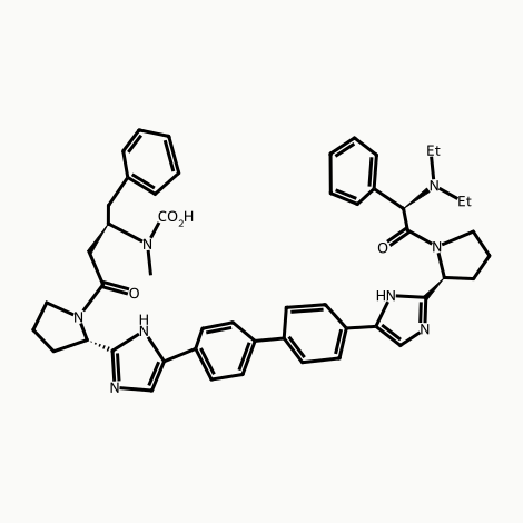 CCN(CC)[C@@H](C(=O)N1CCC[C@H]1c1ncc(-c2ccc(-c3ccc(-c4cnc([C@@H]5CCCN5C(=O)C[C@@H](Cc5ccccc5)N(C)C(=O)O)[nH]4)cc3)cc2)[nH]1)c1ccccc1